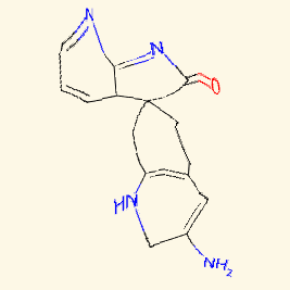 NC1=CC2=C(CC3(C2)C(=O)N=C2N=CC=CC23)NC1